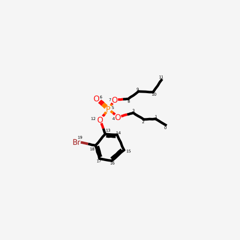 CCCCOP(=O)(OCCCC)Oc1ccccc1Br